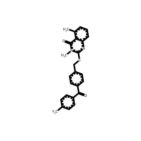 Cc1cccc2nc(SCc3ccc(C(=O)c4ccc(C(F)(F)F)cc4)cc3)n(C)c(=O)c12